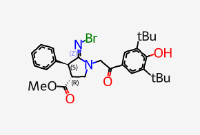 COC(=O)[C@H]1CN(CC(=O)c2cc(C(C)(C)C)c(O)c(C(C)(C)C)c2)/C(=N\Br)[C@@H]1c1ccccc1